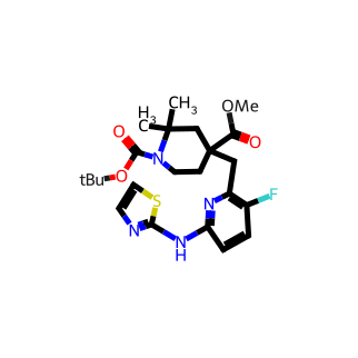 COC(=O)C1(Cc2nc(Nc3nccs3)ccc2F)CCN(C(=O)OC(C)(C)C)C(C)(C)C1